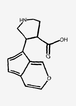 O=C(O)C1CNCC1c1ccc2ccocc1-2